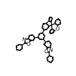 c1ccc(-c2nc3ccc(-c4cc(-c5ccc6c(c5)C5(c7ccccc7Oc7ccccc75)c5ccccc5-6)cc(-c5ccc6nc(-c7ccccc7)oc6c5)c4)cc3o2)cc1